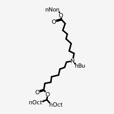 CCCCCCCCCOC(=O)CCCCCCCN(CCCC)CCCCCCCC(=O)OC(CCCCCCCC)CCCCCCCC